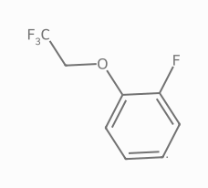 Fc1c[c]ccc1OCC(F)(F)F